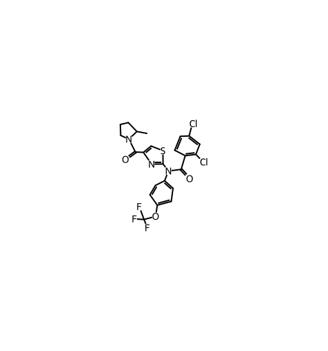 CC1CCCN1C(=O)c1csc(N(C(=O)c2ccc(Cl)cc2Cl)c2ccc(OC(F)(F)F)cc2)n1